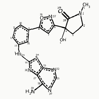 CN1CCC(O)(c2cc(-c3cccc(Nc4nc5c(N)ncnc5s4)c3)on2)C1=O